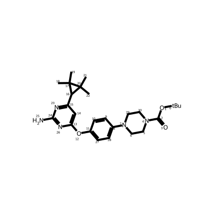 CC(C)(C)OC(=O)N1CCN(c2ccc(Oc3cc(C4C(C)(C)C4(C)C)nc(N)n3)cc2)CC1